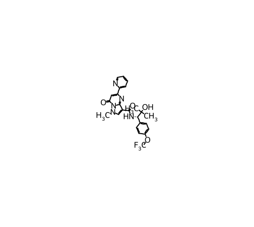 Cn1cc(C(=O)N[C@@H](c2ccc(OC(F)(F)F)cc2)C(C)(C)O)c2nc(-c3ccccn3)cc(=O)n21